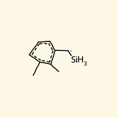 Cc1cccc([CH][SiH3])c1C